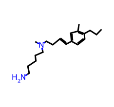 CCCc1ccc(/C=C/CCN(C)CCCCCN)cc1C